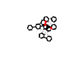 c1ccc(-c2cccc(-n3c4ccccc4c4cccc(-n5c6ccc([Si](c7ccccc7)(c7ccccc7)c7ccccc7)cc6c6ccc(-c7ccccc7)cc65)c43)c2)cc1